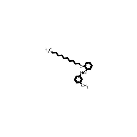 CCCCCCCCCCCOc1ccccc1N=Nc1cccc(C)c1